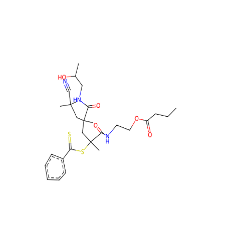 CCCC(=O)OCCNC(=O)C(C)(CC(C)(CC(C)(C)C#N)C(=O)NCC(C)O)SC(=S)c1ccccc1